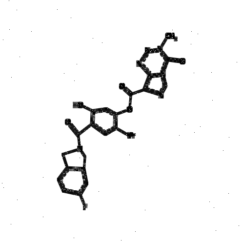 CC(C)c1cc(C(=O)N2Cc3ccc(F)cc3C2)c(O)cc1OC(=O)c1ncn2c(=O)n(C)nnc12